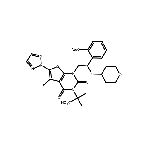 COc1ccccc1[C@H](Cn1c(=O)n(C(C)(C)C(=O)O)c(=O)c2c(C)c(-n3nccn3)sc21)OC1CCOCC1